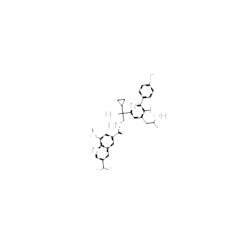 COc1cc(C(=O)NCC(O)(c2cc(CC(C)O)c(F)c(-c3ccc(F)cc3)n2)C2CC2)cc2cc(C(F)F)cnc12